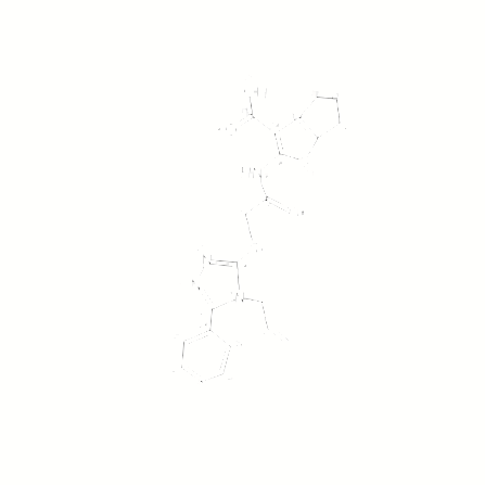 C=CCn1c(SCC(=O)Nc2sc3c(c2C(=O)O)CCC3)nnc1-c1ccccc1